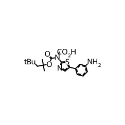 CC(C)(C)CC(C)(C)OC(=O)N(C(=O)O)c1ncc(-c2cccc(N)c2)s1